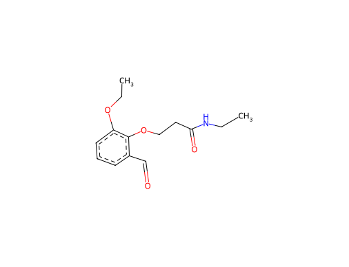 CCNC(=O)CCOc1c(C=O)cccc1OCC